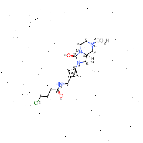 O=C(CCCCl)NCC12CC(N3C[C@@H]4CN(C(=O)O)CCN4C3=O)(C1)C2